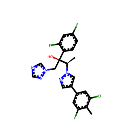 Cc1c(F)cc(-c2cnn([C@H](C)[C@](O)(Cn3cncn3)c3ccc(F)cc3F)c2)cc1Cl